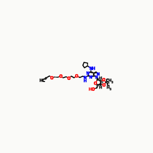 C#CCOCCOCCOCCOCCNc1nc(NC2CCCC2)c2cnn([C@@H]3O[C@H](CO)[C@H]4OC(C)(C)O[C@H]43)c2n1